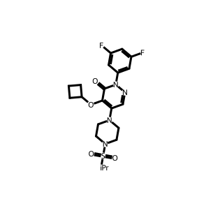 CC(C)S(=O)(=O)N1CCN(c2cnn(-c3cc(F)cc(F)c3)c(=O)c2OC2CCC2)CC1